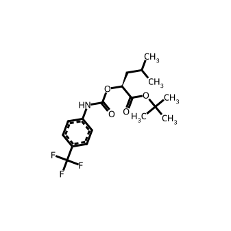 CC(C)C[C@H](OC(=O)Nc1ccc(C(F)(F)F)cc1)C(=O)OC(C)(C)C